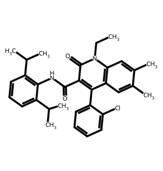 CCn1c(=O)c(C(=O)Nc2c(C(C)C)cccc2C(C)C)c(-c2ccccc2Cl)c2cc(C)c(C)cc21